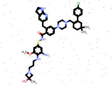 COc1cc(SNC(=O)c2ccc(N3CCN(CC4=C(c5ccc(Cl)cc5)CC(C)(C)CC4)CC3)cc2Cc2cnc3[nH]ccc3c2)cc(N)c1NCCCN1CC(C)(O)C1